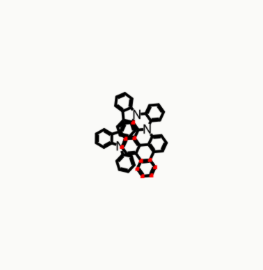 c1ccc(-c2ccccc2-c2c(-c3ccccc3)cccc2N(c2ccc3c4ccccc4n(-c4ccccc4)c3c2)c2ccccc2-n2c3ccccc3c3ccccc32)cc1